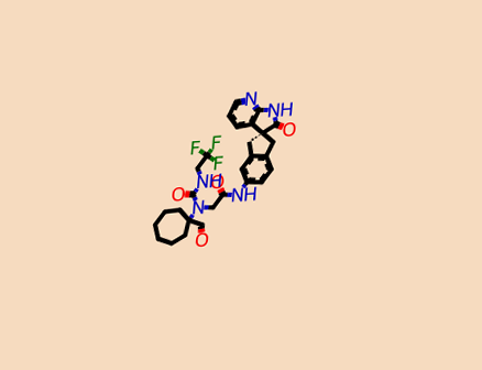 O=CC1(N(CC(=O)Nc2ccc3c(c2)C[C@@]2(C3)C(=O)Nc3ncccc32)C(=O)NCC(F)(F)F)CCCCCC1